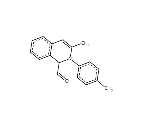 CC1=Cc2ccccc2C(C=O)N1c1ccc(C)cc1